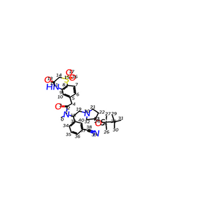 CN(C(=O)Cc1ccc2c(c1)NC(=O)CS2(=O)=O)C(CN1CC[C@H](O[Si](C)(C)C(C)(C)C)C1)c1cccc(C#N)c1